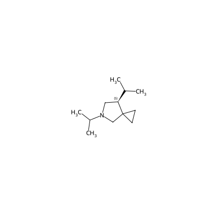 CC(C)[C@@H]1CN(C(C)C)CC12CC2